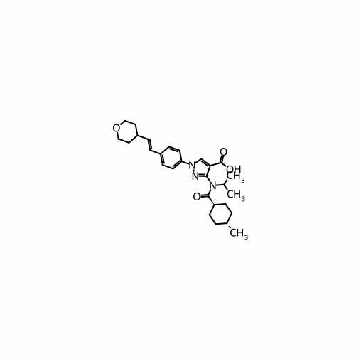 CC(C)N(c1nn(-c2ccc(C=CC3CCOCC3)cc2)cc1C(=O)O)C(=O)[C@H]1CC[C@H](C)CC1